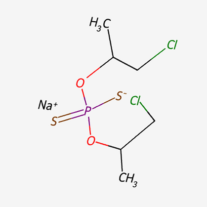 CC(CCl)OP(=S)([S-])OC(C)CCl.[Na+]